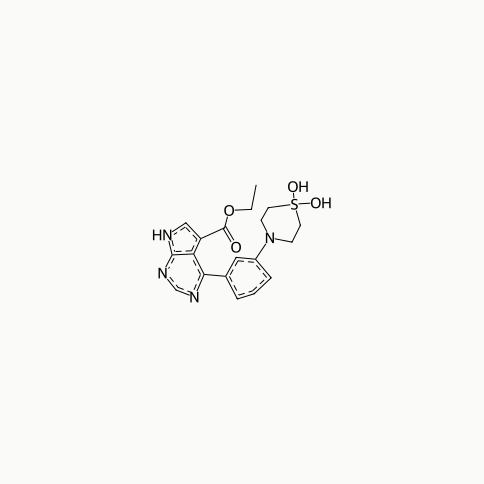 CCOC(=O)c1c[nH]c2ncnc(-c3cccc(N4CCS(O)(O)CC4)c3)c12